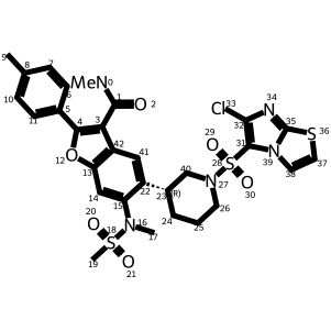 CNC(=O)c1c(-c2ccc(C)cc2)oc2cc(N(C)S(C)(=O)=O)c([C@H]3CCCN(S(=O)(=O)c4c(Cl)nc5sccn45)C3)cc12